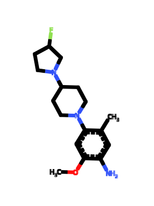 COc1cc(N2CCC(N3CCC(F)C3)CC2)c(C)cc1N